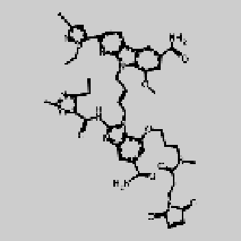 CCc1nc(C)oc1C(=O)Nc1nc2cc(C(N)=O)cc(OCCCN(C)C(=O)CCN3C(=O)C=CC3=O)c2n1C/C=C/Cn1c2nc(-c3cc(C)nn3CC)ccc2c2cc(C(N)=O)cc(OC)c21